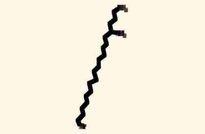 CC(C)CCCCCCCCCCCCCCCC(N)CCCN